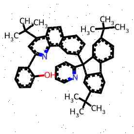 CC(C)(C)c1ccc2c(c1)C(c1ccc3ccc4c(C(C)(C)C)cc(-c5ccccc5O)nc4c3c1)(c1ccccn1)c1cc(C(C)(C)C)ccc1-2